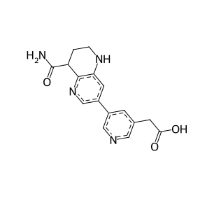 NC(=O)C1CCNc2cc(-c3cncc(CC(=O)O)c3)cnc21